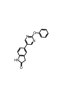 O=C1Cc2cc(-c3cnc(Oc4ccccc4)nc3)ccc2N1